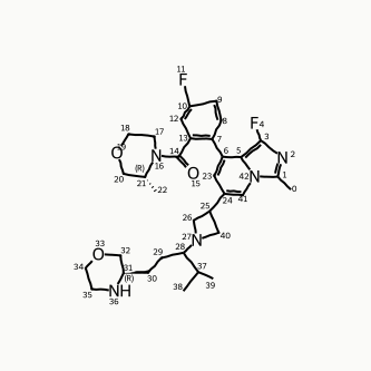 Cc1nc(F)c2c(-c3ccc(F)cc3C(=O)N3CCOC[C@H]3C)cc(C3CN(C(CC[C@@H]4COCCN4)C(C)C)C3)cn12